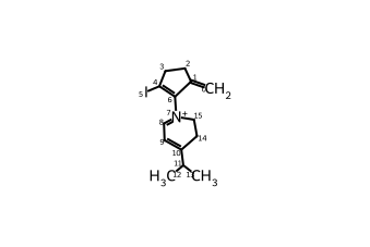 C=C1CCC(I)=C1[N+]1=CC=C(C(C)C)CC1